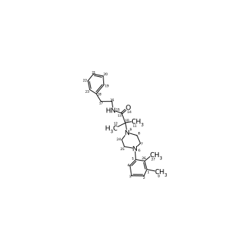 Cc1cccc(N2CCN(C(C)(C)C(=O)NCCc3ccccc3)CC2)c1C